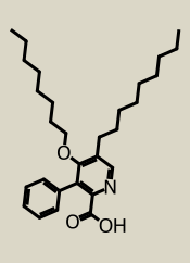 CCCCCCCCCc1cnc(C(=O)O)c(-c2ccccc2)c1OCCCCCCCC